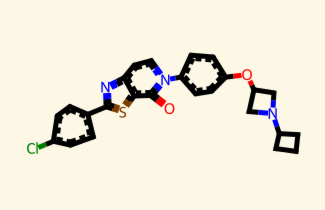 O=c1c2sc(-c3ccc(Cl)cc3)nc2ccn1-c1ccc(OC2CN(C3CCC3)C2)cc1